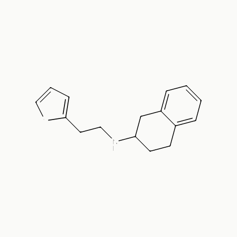 c1csc(CCNC2CCc3ccccc3C2)c1